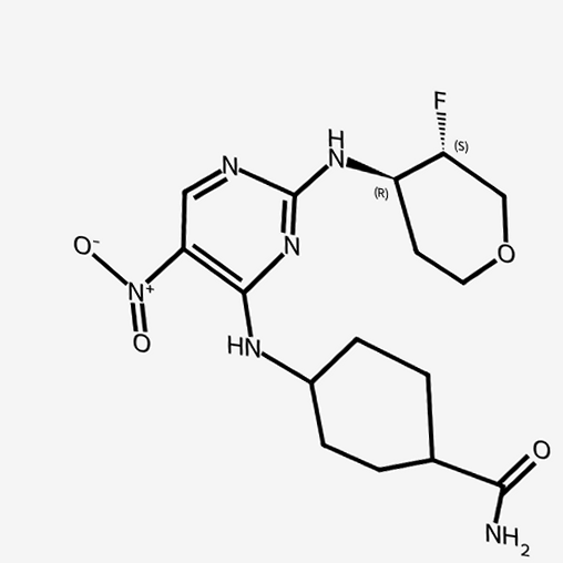 NC(=O)C1CCC(Nc2nc(N[C@@H]3CCOC[C@H]3F)ncc2[N+](=O)[O-])CC1